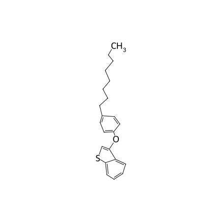 CCCCCCCCc1ccc(Oc2csc3ccccc23)cc1